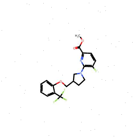 COC(=O)c1ccc(F)c(N2CCC(COc3ccccc3C(F)(F)F)C2)n1